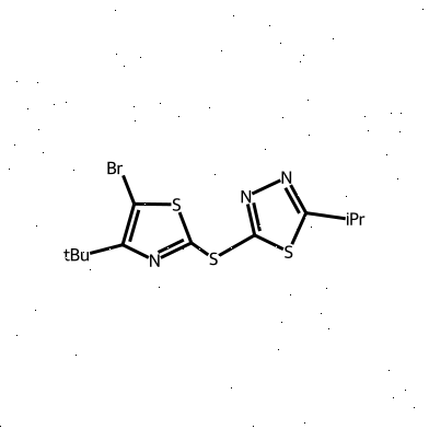 CC(C)c1nnc(Sc2nc(C(C)(C)C)c(Br)s2)s1